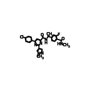 CNC(=O)c1ccc([C@H](C)NC(=O)c2cc(-c3ccc(Cl)cc3)nc(-c3cnn(C)c3)n2)cc1F